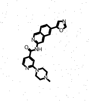 CN1CCN(c2cc(C(=O)Nc3cc4cc(-c5cnco5)ccc4cn3)ccn2)CC1